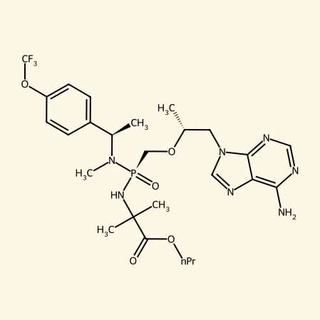 CCCOC(=O)C(C)(C)N[P@](=O)(CO[C@H](C)Cn1cnc2c(N)ncnc21)N(C)[C@H](C)c1ccc(OC(F)(F)F)cc1